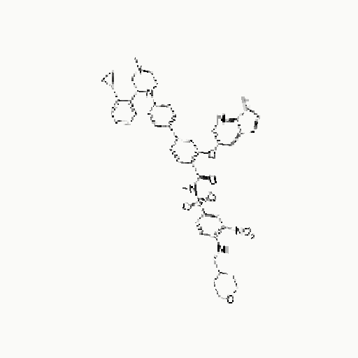 CN1CCN(c2ccc(-c3ccc(C(=O)NS(=O)(=O)c4ccc(NCC5CCOCC5)c([N+](=O)[O-])c4)c(Oc4cnc5[nH]ccc5c4)c3)cc2)C(c2ccccc2C2CC2)C1